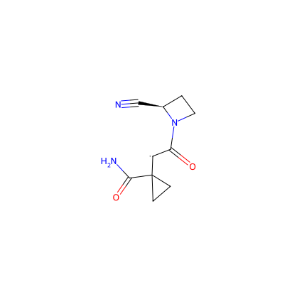 N#C[C@H]1CCN1C(=O)[CH]C1(C(N)=O)CC1